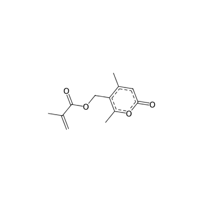 C=C(C)C(=O)OCc1c(C)cc(=O)oc1C